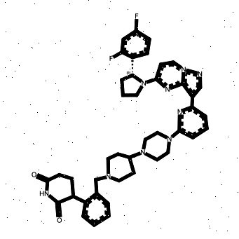 O=C1CCC(c2ccccc2CN2CCC(N3CCN(c4cccc(-c5cnn6ccc(N7CCC[C@@H]7c7ccc(F)cc7F)nc56)n4)CC3)CC2)C(=O)N1